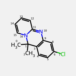 CC1(C)c2ccc(Cl)cc2N=C2C=CC=CN21